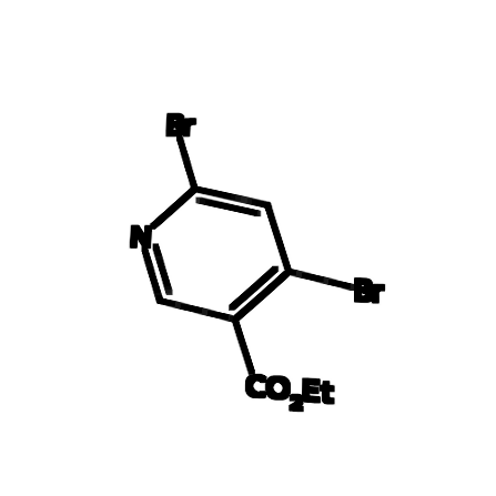 CCOC(=O)c1cnc(Br)cc1Br